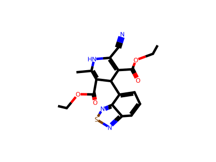 CCOC(=O)C1=C(C)NC(C#N)=C(C(=O)OCC)C1c1cccc2nsnc12